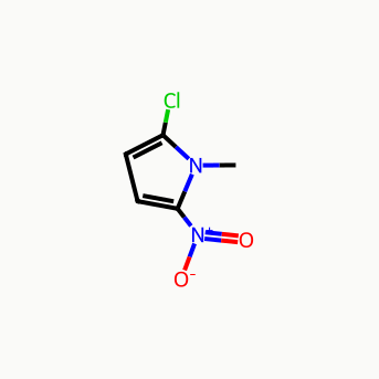 Cn1c(Cl)ccc1[N+](=O)[O-]